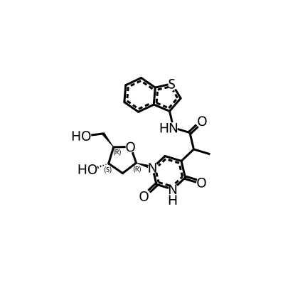 CC(C(=O)Nc1csc2ccccc12)c1cn([C@H]2C[C@H](O)[C@@H](CO)O2)c(=O)[nH]c1=O